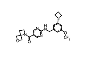 O=C(c1cnc(NCc2cc(OC(F)(F)F)cc(N3CCC3)c2)nc1)N1CCC12COC2